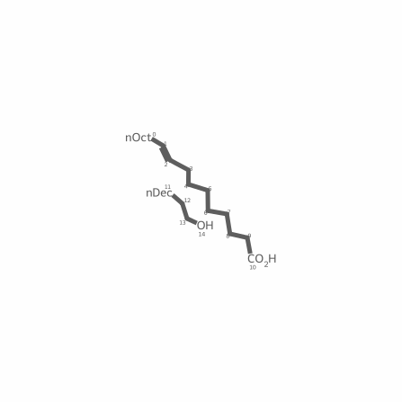 CCCCCCCCC=CCCCCCCCC(=O)O.CCCCCCCCCCCCO